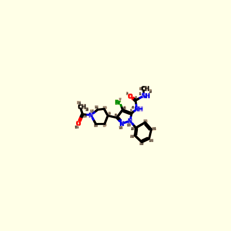 CNC(=O)Nc1c(Br)c(C2CCN(C(C)=O)CC2)nn1-c1ccccc1